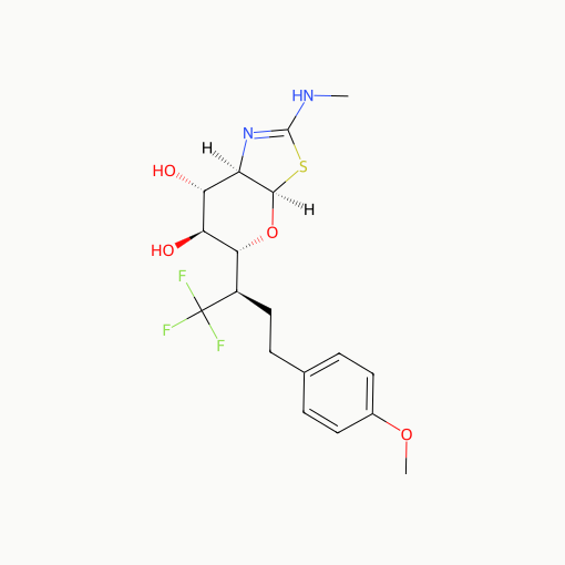 CNC1=N[C@@H]2[C@@H](O)[C@H](O)[C@@H]([C@@H](CCc3ccc(OC)cc3)C(F)(F)F)O[C@@H]2S1